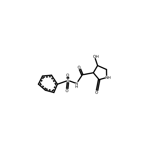 O=C1NCC(O)C1C(=O)NS(=O)(=O)c1ccccc1